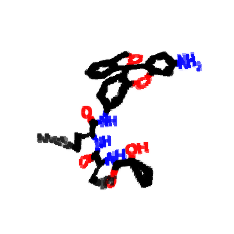 CSCC[C@H](NC(=O)[C@H](CC(C)C)NC(=O)C1(O)CC1)C(=O)Nc1ccc2c(c1)Oc1cc(N)ccc1C21OCc2ccccc21